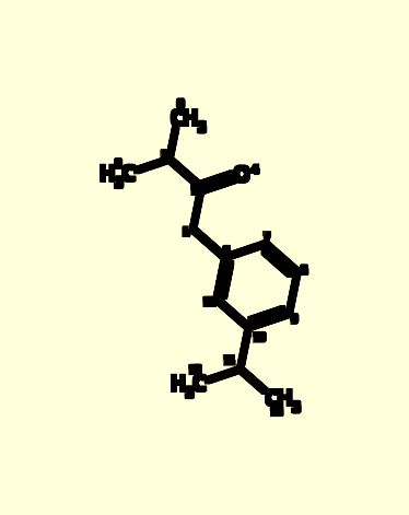 CC(C)C(=O)Cc1cccc(C(C)C)c1